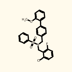 COc1ccccc1-c1ccc(CN(Cc2c(F)cccc2Cl)S(=O)(=O)c2ccccc2)cc1